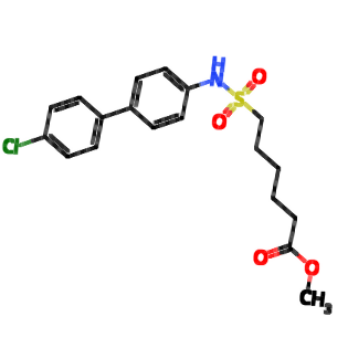 COC(=O)CCCCCS(=O)(=O)Nc1ccc(-c2ccc(Cl)cc2)cc1